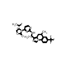 CC1Cc2c([C@H](C)Nc3nccc(N4C(=O)OC[C@@H]4C(C)F)n3)ncn2-c2ccc(C(F)(F)F)cc21